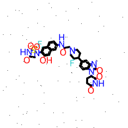 Cn1c(=O)n(C2CCC(=O)NC2=O)c2ccc(C3CCN(CC(=O)Nc4ccc5c(F)c(N6CC(=O)NS6(=O)=O)c(O)cc5c4)CC3F)cc21